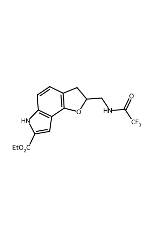 CCOC(=O)c1cc2c3c(ccc2[nH]1)CC(CNC(=O)C(F)(F)F)O3